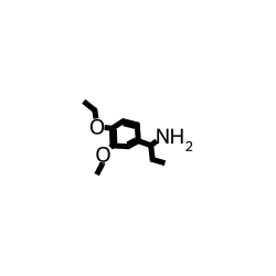 CCOc1ccc(C(N)CC)cc1OCC